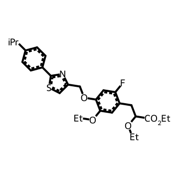 CCOC(=O)C(Cc1cc(OCC)c(OCc2csc(-c3ccc(C(C)C)cc3)n2)cc1F)OCC